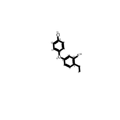 CCc1ccc(Oc2ccc(Cl)cc2)cc1F